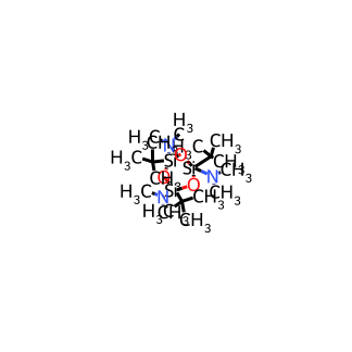 CN(C)[Si]1(C(C)(C)C)O[Si](N(C)C)(C(C)(C)C)O[Si](N(C)C)(C(C)(C)C)O1